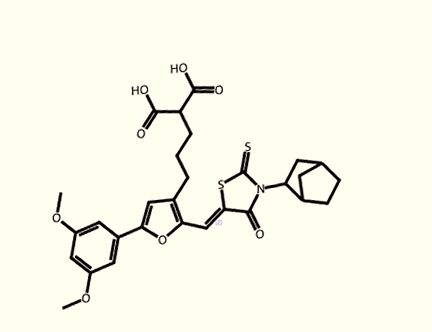 COc1cc(OC)cc(-c2cc(CCCC(C(=O)O)C(=O)O)c(/C=C3\SC(=S)N(C4CC5CCC4C5)C3=O)o2)c1